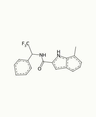 Cc1cccc2cc(C(=O)NC(c3ccccc3)C(F)(F)F)[nH]c12